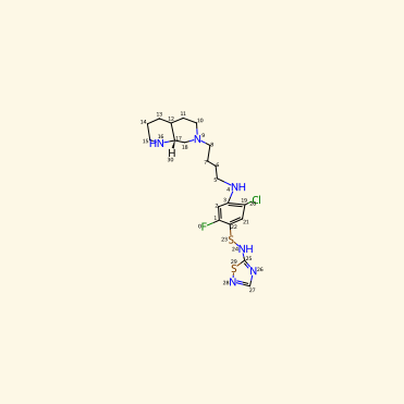 Fc1cc(NCCCCN2CCC3CCCN[C@H]3C2)c(Cl)cc1SNc1ncns1